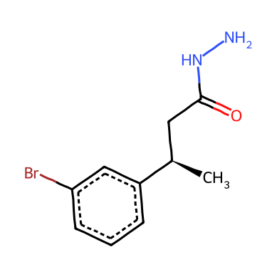 C[C@H](CC(=O)NN)c1cccc(Br)c1